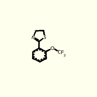 FC(F)(F)Oc1ccccc1C1=N[CH]CS1